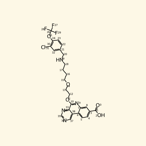 O=C(O)c1ccc2c(c1)nc(OCCOCCCCNCc1ccc(OC(F)(F)F)c(Cl)c1)c1ncncc12